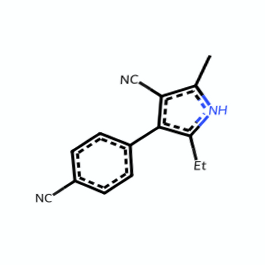 CCc1[nH]c(C)c(C#N)c1-c1ccc(C#N)cc1